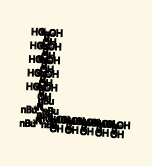 CCCCN(CCCC)CCCC.CCCCN(CCCC)CCCC.OB(O)O.OB(O)O.OB(O)O.OB(O)O.OB(O)O.OB(O)O.OB(O)O.OB(O)O.OB(O)O.OB(O)O